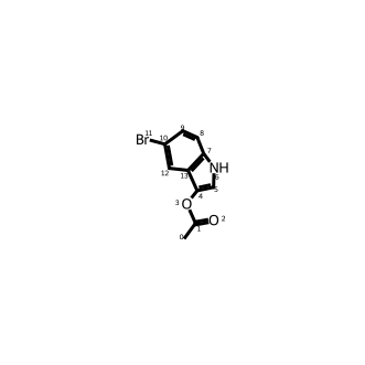 CC(=O)Oc1c[nH]c2ccc(Br)cc12